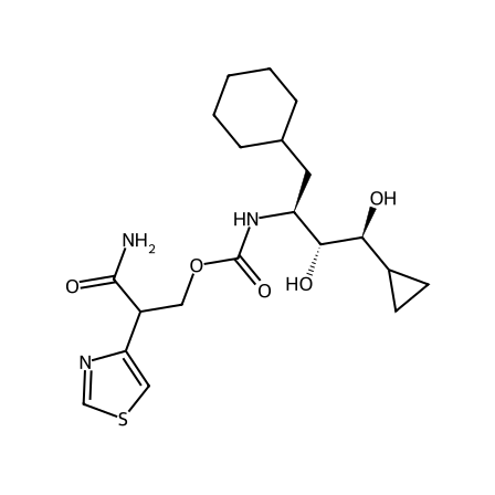 NC(=O)C(COC(=O)N[C@@H](CC1CCCCC1)[C@@H](O)[C@@H](O)C1CC1)c1cscn1